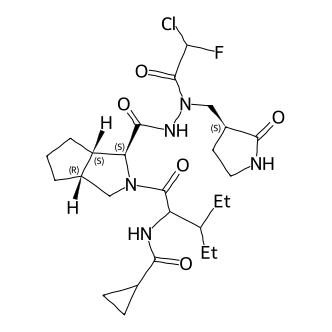 CCC(CC)C(NC(=O)C1CC1)C(=O)N1C[C@@H]2CCC[C@@H]2[C@H]1C(=O)NN(C[C@@H]1CCNC1=O)C(=O)C(F)Cl